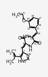 C=C(C)c1[nH]cnc1/C=c1\[nH]c(=O)/c(=C/c2cccc(OCC)c2)[nH]c1=O